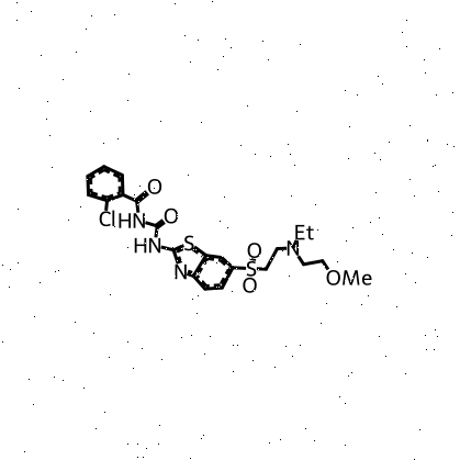 CCN(CCOC)CCS(=O)(=O)c1ccc2nc(NC(=O)NC(=O)c3ccccc3Cl)sc2c1